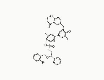 Cc1cc(-c2cc(F)c(=O)n(Cc3ccc4c(c3)N(C)CCO4)c2)nc(S(=O)(=O)CCC(OCc2ccccc2F)c2ccccc2)n1